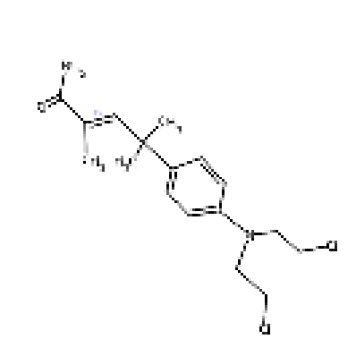 C/C(=C\C(C)(C)c1ccc(N(CCCl)CCCl)cc1)C(N)=O